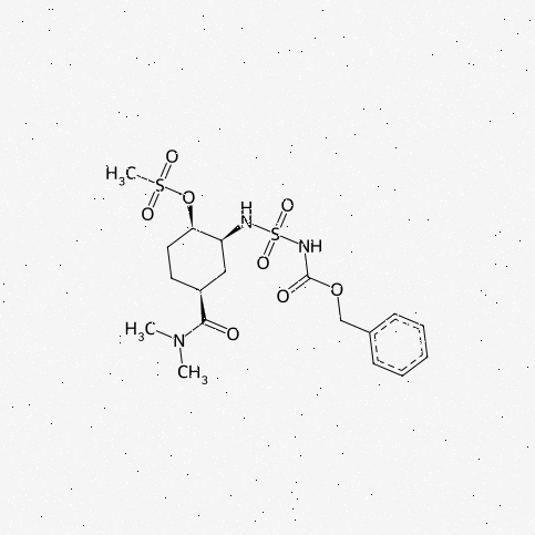 CN(C)C(=O)[C@H]1CC[C@@H](OS(C)(=O)=O)[C@@H](NS(=O)(=O)NC(=O)OCc2ccccc2)C1